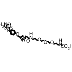 NS(=O)(=O)c1nc2ccc(OCc3cn(CC(=O)NCCCOCCOCCOCCCNC(=O)O)nn3)cc2s1